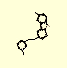 Cc1cccc(CCc2ccc3oc4ccc(C)cc4c3c2)c1